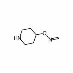 C=NOC1CCNCC1